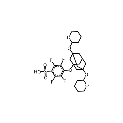 O=S(=O)(O)c1c(F)c(F)c(OC23CC4CC(OC5CCCCO5)(C2)CC(OC2CCCCO2)(C4)C3)c(F)c1F